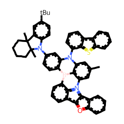 Cc1cc2c3c(c1)-n1c4c(cccc4c4oc5ccccc5c41)B3c1ccc(N3c4ccc(C(C)(C)C)cc4C4(C)CCCCC34C)cc1N2c1cccc2c1sc1ccccc12